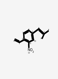 C=Cc1ccc(C=C(C)C)cc1[N+](=O)[O-]